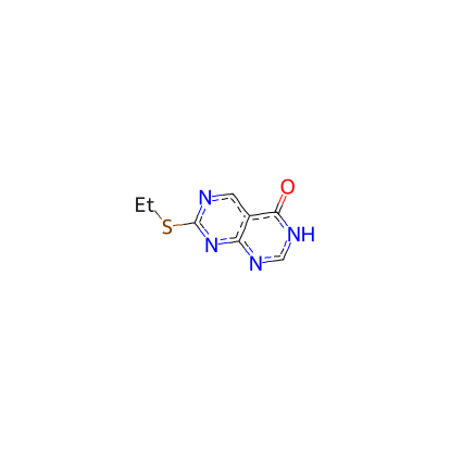 CCSc1ncc2c(=O)[nH]cnc2n1